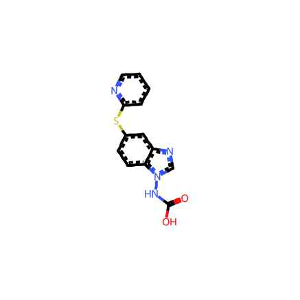 O=C(O)Nn1cnc2cc(Sc3ccccn3)ccc21